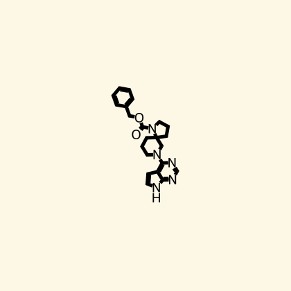 O=C(OCc1ccccc1)N1CCCC12CCCN(c1ncnc3[nH]ccc13)C2